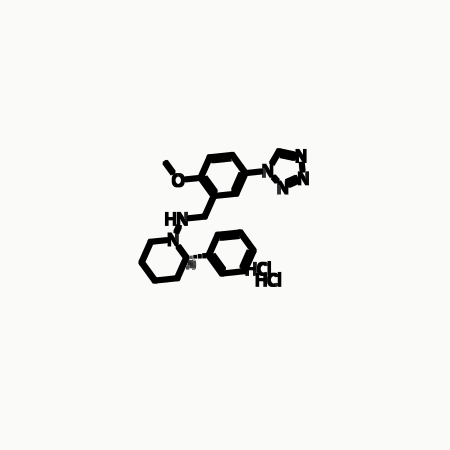 COc1ccc(-n2cnnn2)cc1CNN1CCCC[C@H]1c1ccccc1.Cl.Cl